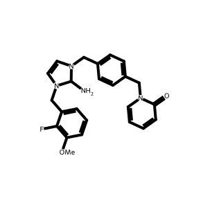 COc1cccc(CN2C=CN(Cc3ccc(Cn4ccccc4=O)cc3)C2N)c1F